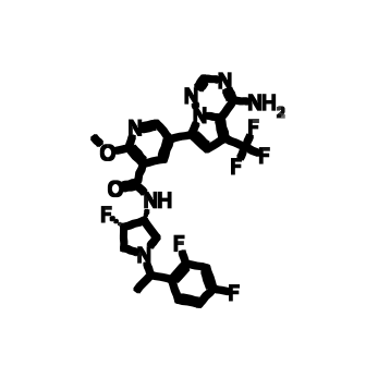 COc1ncc(-c2cc(C(F)(F)F)c3c(N)ncnn23)cc1C(=O)N[C@@H]1CN(C(C)c2ccc(F)cc2F)C[C@@H]1F